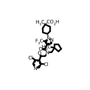 CC1(CN(CC(=O)c2c(Cl)cncc2Cl)C(=O)c2cnn([C@H]3CC[C@](C)(C(=O)O)CC3)c2C(F)(F)F)CCCC1